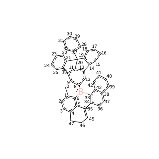 Cc1ccc2c(c1B(c1ccc3c(c1)-c1ccccc1C3(c1ccccc1)c1ccccc1)c1c(C)ccc3ccccc13)C=CCC2